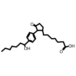 CCCCCCC(O)c1ccc(C2C(=O)CCC2CCCCCCC(=O)O)cc1